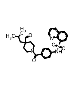 CC(C)CC1(C=O)CCN(C(=O)c2ccc(NS(=O)(=O)c3cccc4cccnc34)cc2)CC1